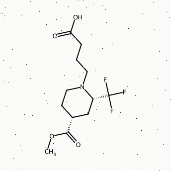 COC(=O)[C@@H]1CCN(CCCC(=O)O)[C@H](C(F)(F)F)C1